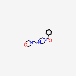 O=C(c1ccccc1)N1CCN(CCN2CCOCC2)CC1